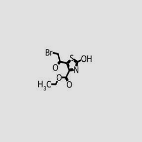 CCOC(=O)c1nc(O)sc1C(=O)CBr